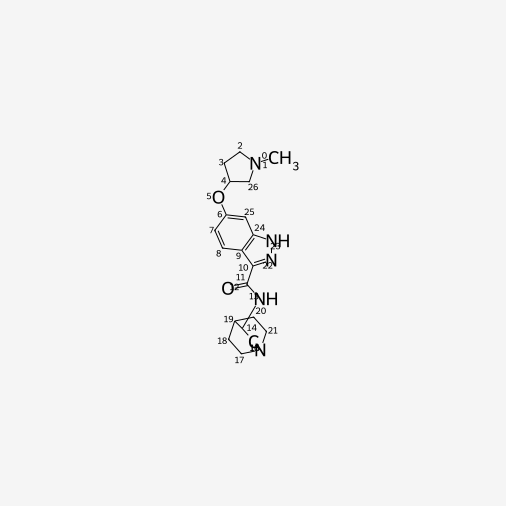 CN1CCC(Oc2ccc3c(C(=O)NC4CN5CCC4CC5)n[nH]c3c2)C1